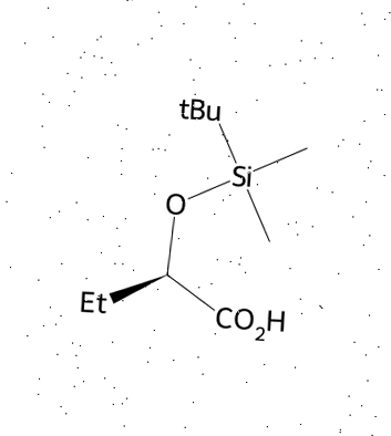 CC[C@@H](O[Si](C)(C)C(C)(C)C)C(=O)O